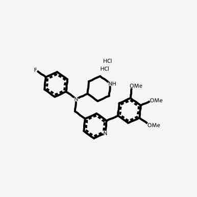 COc1cc(-c2cc(CN(c3ccc(F)cc3)C3CCNCC3)ccn2)cc(OC)c1OC.Cl.Cl